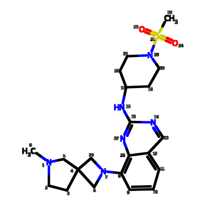 CN1CCC2(C1)CN(c1cccc3cnc(NC4CCN(S(C)(=O)=O)CC4)nc13)C2